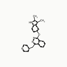 Cc1[nH]c2ccc(Oc3nnc(Cc4ccncc4)c4ccccc34)cc2c1C